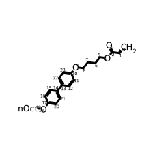 C=CC(=O)OCCCCOc1ccc(-c2ccc(OCCCCCCCC)cc2)cc1